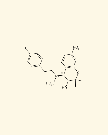 CC1(C)Oc2cc([N+](=O)[O-])ccc2[C@H](N(CCc2ccc(F)cc2)C(=O)O)C1O